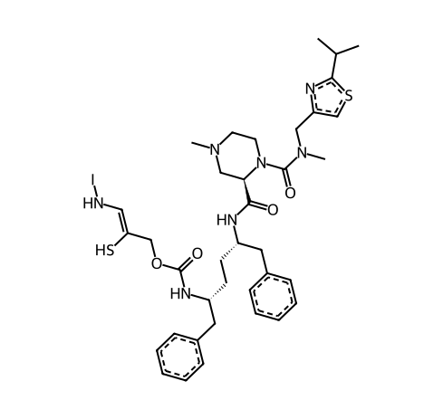 CC(C)c1nc(CN(C)C(=O)N2CCN(C)C[C@@H]2C(=O)N[C@@H](CC[C@H](Cc2ccccc2)NC(=O)OC/C(S)=C/NI)Cc2ccccc2)cs1